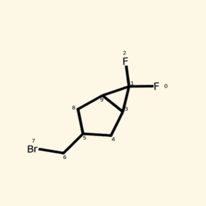 FC1(F)C2CC(CBr)CC21